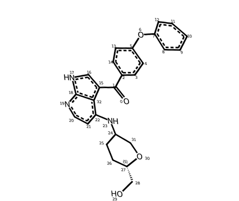 O=C(c1ccc(Oc2ccccc2)cc1)c1c[nH]c2nccc(NC3CC[C@@H](CO)OC3)c12